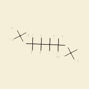 CC(C)C(F)(F)OC(C)(C)C(C)(C)C(F)(F)C(F)(F)OC(C)(C)C(C)(C)C